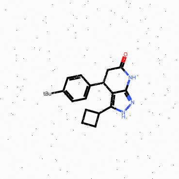 CC(C)(C)c1ccc(C2CC(=O)Nc3n[nH]c(C4CCC4)c32)cc1